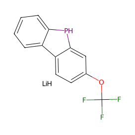 FC(F)(F)Oc1ccc2c(c1)[pH]c1ccccc12.[LiH]